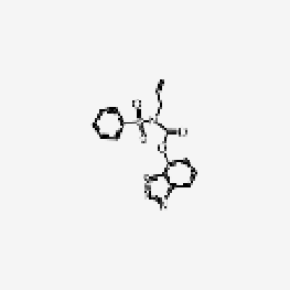 C=CCN(C(=O)Oc1cccc2nnsc12)S(=O)(=O)c1ccccc1